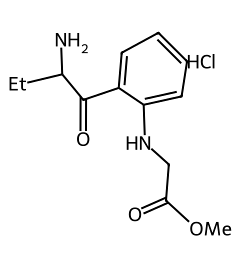 CCC(N)C(=O)c1ccccc1NCC(=O)OC.Cl